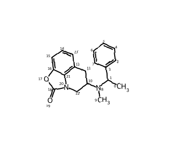 CC(c1ccccc1)N(C)C1Cc2cccc3oc(=O)n(c23)C1